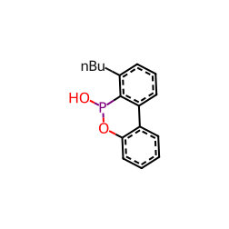 CCCCc1cccc2c1P(O)Oc1ccccc1-2